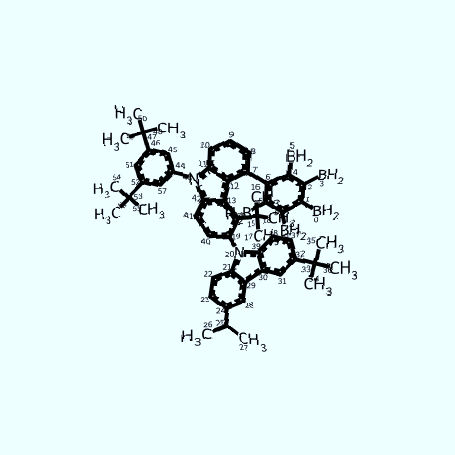 Bc1c(B)c(B)c(-c2cccc3c2c2c(C(C)(C)C)c(-n4c5ccc(C(C)C)cc5c5cc(C(C)(C)C)ccc54)ccc2n3-c2cc(C(C)(C)C)cc(C(C)(C)C)c2)c(B)c1B